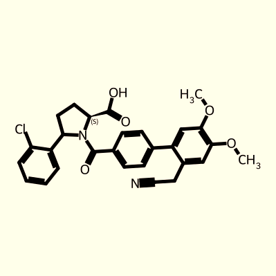 COc1cc(CC#N)c(-c2ccc(C(=O)N3C(c4ccccc4Cl)CC[C@H]3C(=O)O)cc2)cc1OC